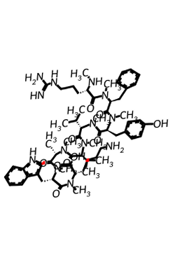 CN[C@@H](CCCNC(=N)N)C(=O)N(C)[C@@H](Cc1ccccc1)C(=O)N(C)[C@@H](Cc1ccc(O)cc1)C(=O)N(C)[C@H](C(=O)N(C)[C@H](C(=O)N(C)[C@@H](C)C(=O)N(C)[C@@H](Cc1c[nH]c2ccccc12)C(=O)N(C)[C@@H](CCCCN)C(=O)O)C(C)C)C(C)C